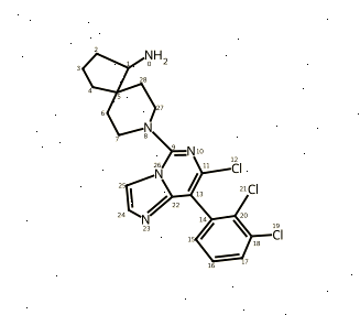 NC1CCCC12CCN(c1nc(Cl)c(-c3cccc(Cl)c3Cl)c3nccn13)CC2